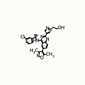 Cc1noc(C)c1-c1ccc2nc(-c3cnn(CCO)c3)nc(NC3(c4cccc(Cl)c4)CC3)c2c1